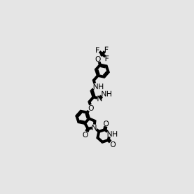 N=N/C(=C\NCc1cccc(OC(F)(F)F)c1)COc1cccc2c1CN(C1CCC(=O)NC1=O)C2=O